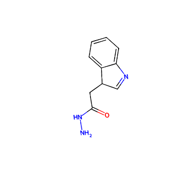 NNC(=O)CC1C=Nc2ccccc21